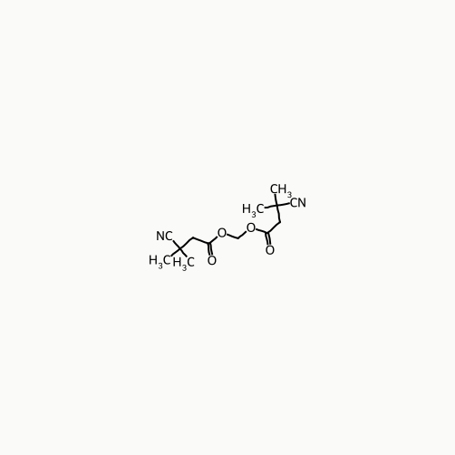 CC(C)(C#N)CC(=O)OCOC(=O)CC(C)(C)C#N